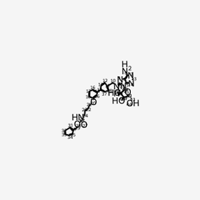 Nc1ncnc2c1nc(NCc1ccc(-c3cccc(OCCCCNC(=O)OCc4ccccc4)c3)cc1)n2[C@@H]1O[C@H](CO)[C@@H](O)[C@H]1O